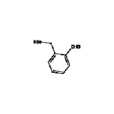 O=Cc1ccccc1C[SeH]